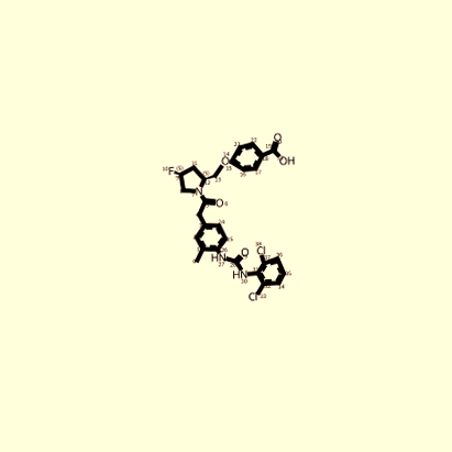 Cc1cc(CC(=O)N2C[C@@H](F)C[C@H]2COc2ccc(C(=O)O)cc2)ccc1NC(=O)Nc1c(Cl)cccc1Cl